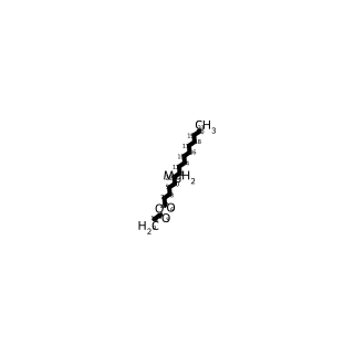 C=CC(=O)OC(=O)CCCCCCCCCCCCCCC.[MgH2]